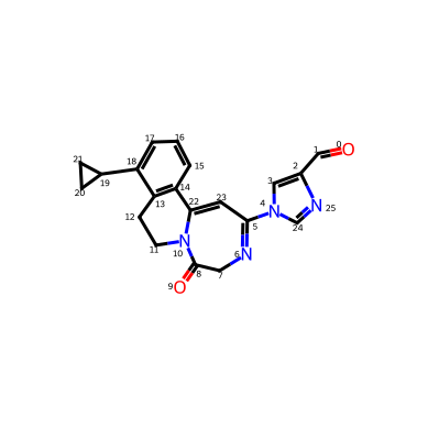 O=Cc1cn(C2=NCC(=O)N3CCc4c(cccc4C4CC4)C3=C2)cn1